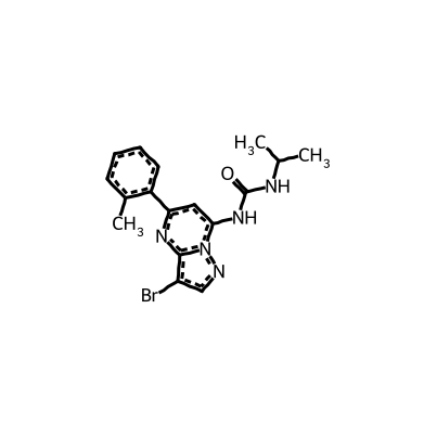 Cc1ccccc1-c1cc(NC(=O)NC(C)C)n2ncc(Br)c2n1